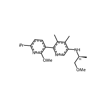 COC[C@H](C)Nc1cnc(-c2ccc(C(C)C)nc2OC)c(C)c1C